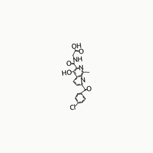 Cc1nc(C(=O)NCC(=O)O)c(O)c2ccc(C(=O)c3ccc(Cl)cc3)nc12